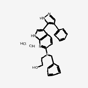 Cl.Cl.OCCN(Cc1ccccc1)c1ccc2c(-c3[nH]ncc3-c3ccccc3)c[nH]c2n1